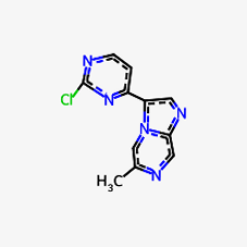 Cc1cn2c(-c3ccnc(Cl)n3)cnc2cn1